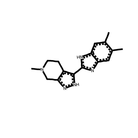 Cc1cc2nc(-c3[nH]nc4c3CCN(C)C4)[nH]c2cc1C